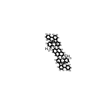 Cc1cccc(C)c1N(c1ccc2ccc3c(N(c4c(C)cccc4C)c4cccc5c4oc4c(-c6ccccc6C(C)C)cccc45)ccc4ccc1c2c43)c1cccc2c1oc1c(-c3ccccc3C(C)C)cccc12